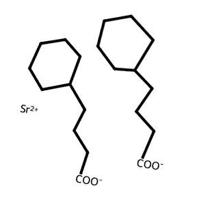 O=C([O-])CCCC1CCCCC1.O=C([O-])CCCC1CCCCC1.[Sr+2]